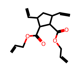 C=CCOC(=O)C1C(C=C)CC(C=C)C1C(=O)OCC=C